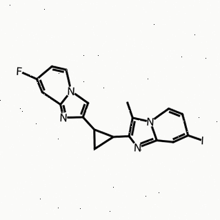 Cc1c(C2CC2c2cn3ccc(F)cc3n2)nc2cc(I)ccn12